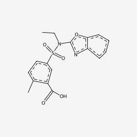 CCN(c1nc2ccccc2o1)S(=O)(=O)c1ccc(C)c(C(=O)O)c1